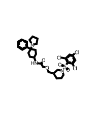 O=C(COCC1CCCN(S(=O)(=O)c2c(Cl)cc(Cl)cc2Cl)C1)NC1CCC(c2ccccc2)(N2CCCC2)CC1